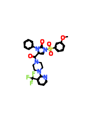 COc1cccc(S(=O)(=O)n2cc(C(=O)N3CCN(c4ncccc4C(F)(F)F)CC3)n(-c3ccccc3)c2=O)c1